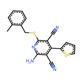 Cc1ccccc1CSc1nc(N)c(C#N)c(-c2cccs2)c1C#N